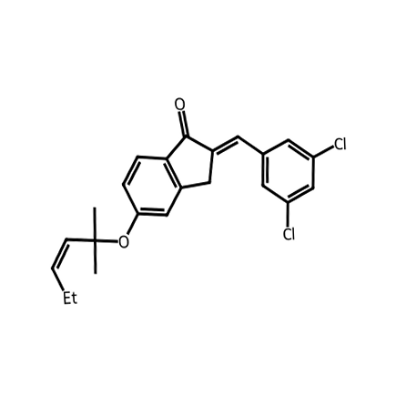 CC/C=C\C(C)(C)Oc1ccc2c(c1)C/C(=C\c1cc(Cl)cc(Cl)c1)C2=O